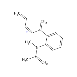 C=C/C=C\C(=C)c1ccccc1N(C)C(=C)C